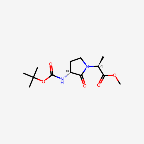 COC(=O)[C@H](C)N1CC[C@@H](NC(=O)OC(C)(C)C)C1=O